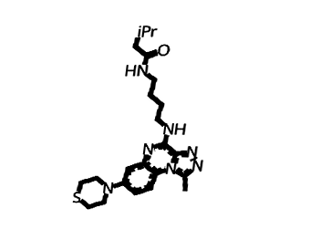 Cc1nnc2c(NCCCCNC(=O)CC(C)C)nc3cc(N4CCSCC4)ccc3n12